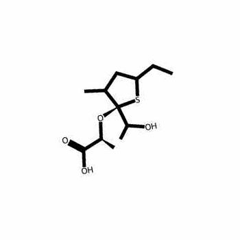 CCC1CC(C)[C@@](O[C@@H](C)C(=O)O)(C(C)O)S1